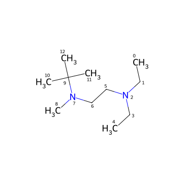 CCN(CC)CCN(C)C(C)(C)C